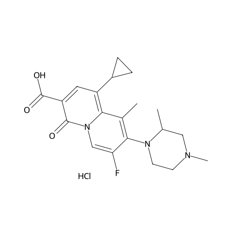 Cc1c(N2CCN(C)CC2C)c(F)cn2c(=O)c(C(=O)O)cc(C3CC3)c12.Cl